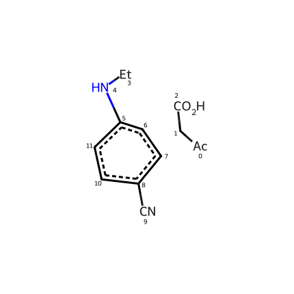 CC(=O)CC(=O)O.CCNc1ccc(C#N)cc1